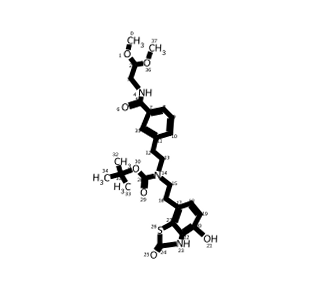 COC(CNC(=O)c1cccc(CCN(CCc2ccc(O)c3[nH]c(=O)sc23)C(=O)OC(C)(C)C)c1)OC